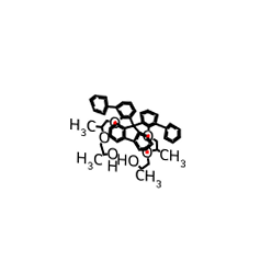 CC(O)COC(C)COc1c(-c2ccccc2)cccc1C1(c2cccc(-c3ccccc3)c2OCC(C)OCC(C)O)c2ccccc2-c2ccccc21